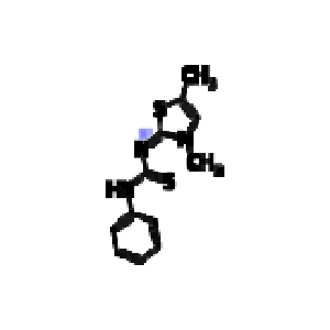 Cc1cn(C)/c(=N\C(=S)Nc2ccccc2)s1